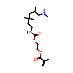 C=C(C)C(=O)OCCOC(=O)NCCC(C)(C)CC(C)CNC